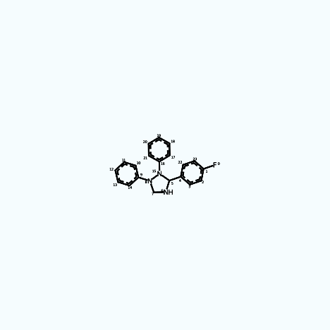 Fc1ccc(C2NCN(c3ccccc3)N2c2ccccc2)cc1